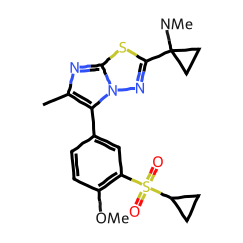 CNC1(c2nn3c(-c4ccc(OC)c(S(=O)(=O)C5CC5)c4)c(C)nc3s2)CC1